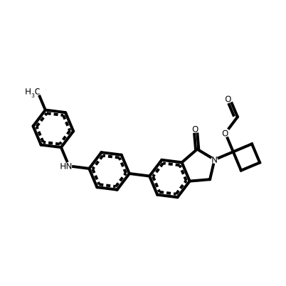 Cc1ccc(Nc2ccc(-c3ccc4c(c3)C(=O)N(C3(OC=O)CCC3)C4)cc2)cc1